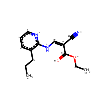 CCCc1cccnc1NC=C(C#N)C(=O)OCC